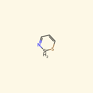 C1=CS[SiH2]N=C1